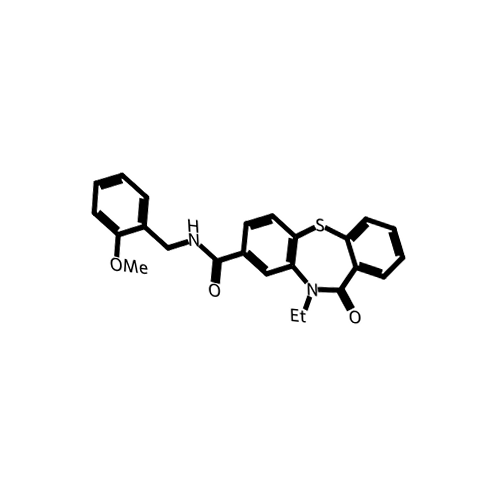 CCN1C(=O)c2ccccc2Sc2ccc(C(=O)NCc3ccccc3OC)cc21